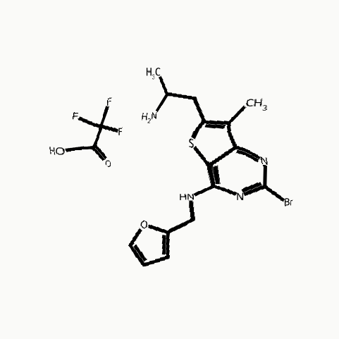 Cc1c(CC(C)N)sc2c(NCc3ccco3)nc(Br)nc12.O=C(O)C(F)(F)F